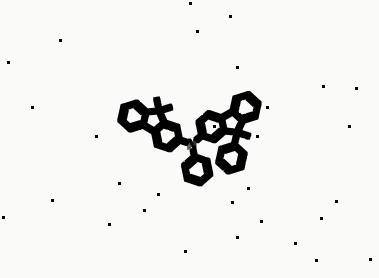 CC1(C)c2ccccc2-c2ccc(N(c3ccccc3)c3ccc4c(c3)C(C)(c3ccccc3)c3ccccc3-4)cc21